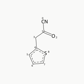 N#CC(=O)Cc1cccs1